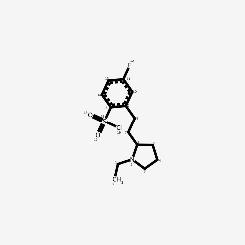 CCN1CCCC1CCc1cc(F)ccc1S(=O)(=O)Cl